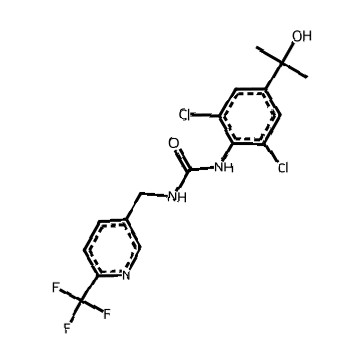 CC(C)(O)c1cc(Cl)c(NC(=O)NCc2ccc(C(F)(F)F)nc2)c(Cl)c1